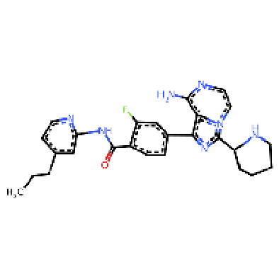 CCCc1ccnc(NC(=O)c2ccc(-c3nc(C4CCCCN4)n4ccnc(N)c34)cc2F)c1